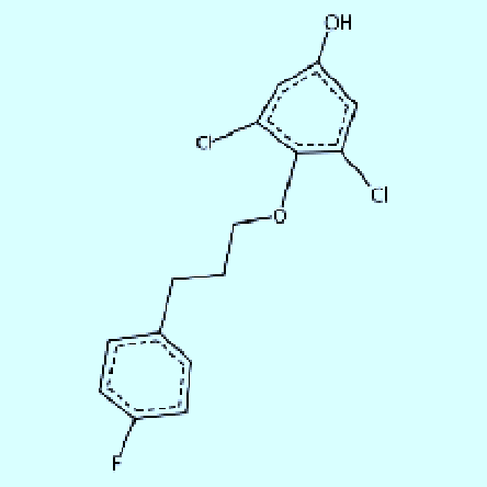 Oc1cc(Cl)c(OCCCc2ccc(F)cc2)c(Cl)c1